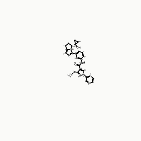 COc1nn(-c2cnccn2)cc1C(=O)Nc1cccc(-c2nnc3n2[C@@H](C2(O)CC2)CC3)n1